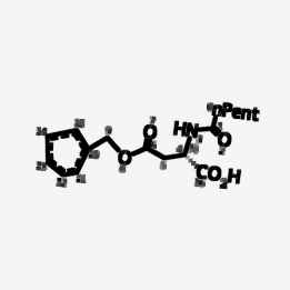 CCCCCC(=O)N[C@@H](CC(=O)OCc1ccccc1)C(=O)O